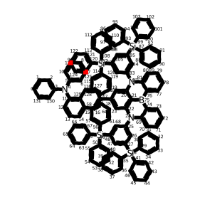 c1ccc(N(c2ccccc2)c2cccc3cc(-c4cc5c6c(c4)N(c4cc([Si](c7ccccc7)(c7ccccc7)c7ccccc7)cc([Si](c7ccccc7)(c7ccccc7)c7ccccc7)c4)c4ccccc4B6c4ccccc4N5c4cc([Si](c5ccccc5)(c5ccccc5)c5ccccc5)cc([Si](c5ccccc5)(c5ccccc5)c5ccccc5)c4)ccc23)cc1